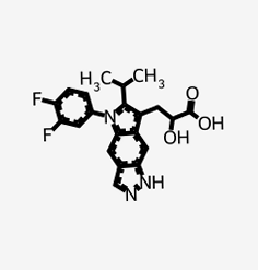 CC(C)c1c(CC(O)C(=O)O)c2cc3[nH]ncc3cc2n1-c1ccc(F)c(F)c1